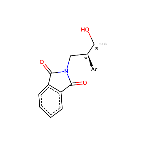 CC(=O)[C@@H](CN1C(=O)c2ccccc2C1=O)[C@@H](C)O